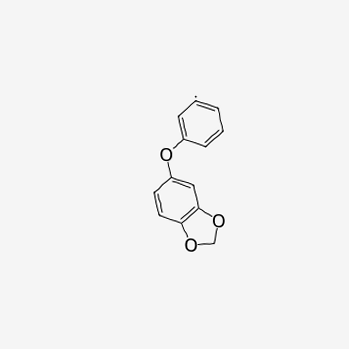 [c]1cccc(Oc2ccc3c(c2)OCO3)c1